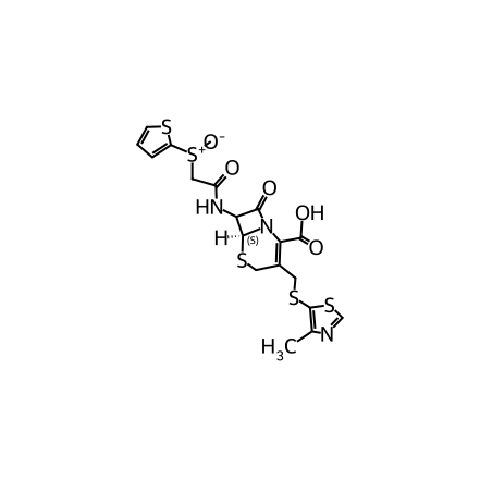 Cc1ncsc1SCC1=C(C(=O)O)N2C(=O)C(NC(=O)C[S+]([O-])c3cccs3)[C@@H]2SC1